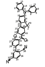 CC1(C)c2cc(N(c3ccccc3)c3ccccc3)ccc2-c2cc3oc4ccc(-c5cc(C#N)ccc5C#N)cc4c(=O)c3cc21